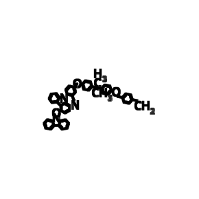 C=Cc1ccc(COc2ccc(C(C)(C)c3ccc(Oc4ccc(-n5c6ccccc6c6c(On7c8ccccc8c8ccccc87)cccc65)c(C#N)c4)cc3)cc2)cc1